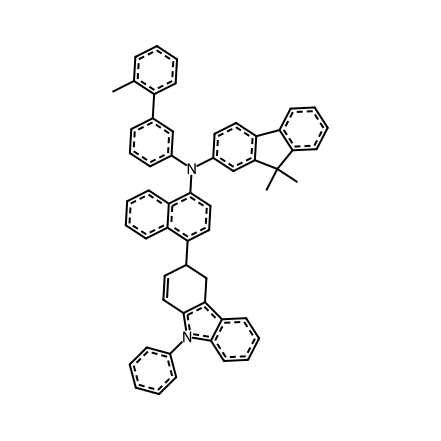 Cc1ccccc1-c1cccc(N(c2ccc3c(c2)C(C)(C)c2ccccc2-3)c2ccc(C3C=Cc4c(c5ccccc5n4-c4ccccc4)C3)c3ccccc23)c1